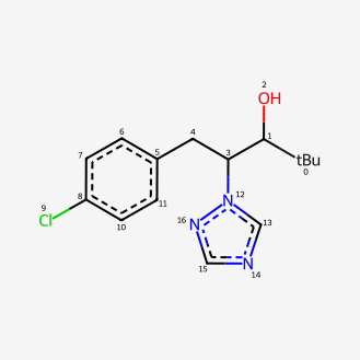 CC(C)(C)C(O)C(Cc1ccc(Cl)cc1)n1cncn1